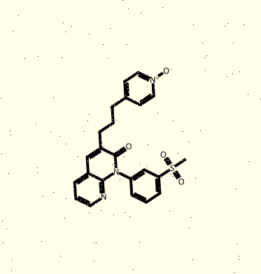 CS(=O)(=O)c1cccc(-n2c(=O)c(CCCc3cc[n+]([O-])cc3)cc3cccnc32)c1